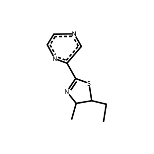 CCC1SC(c2cnccn2)=NC1C